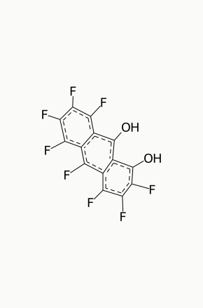 Oc1c(F)c(F)c(F)c2c(F)c3c(F)c(F)c(F)c(F)c3c(O)c12